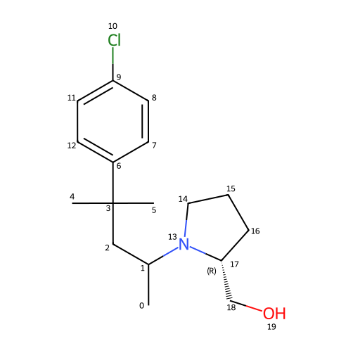 CC(CC(C)(C)c1ccc(Cl)cc1)N1CCC[C@@H]1CO